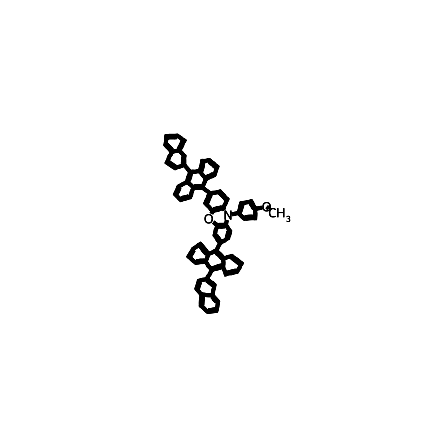 COc1ccc(N2c3ccc(-c4c5ccccc5c(-c5ccc6ccccc6c5)c5ccccc45)cc3Oc3cc(-c4c5ccccc5c(-c5ccc6ccccc6c5)c5ccccc45)ccc32)cc1